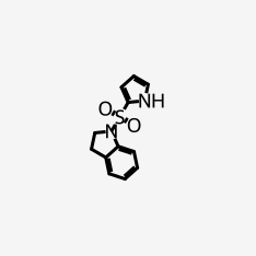 O=S(=O)(c1ccc[nH]1)N1CCc2ccccc21